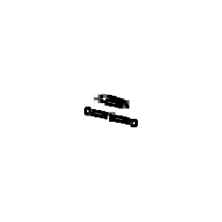 C#N.[O]=[Ti]=[O]